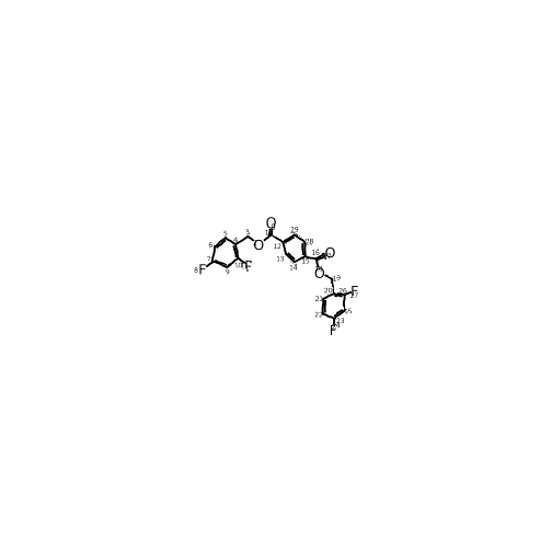 O=C(OCc1ccc(F)cc1F)c1ccc(C(=O)OCc2ccc(F)cc2F)cc1